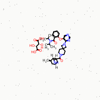 C=C1C[C@@H]2CC[C@H]1[C@@H](C(=O)N1CCC3(CC1)CN(c1ncncc1Oc1ccccc1C(=O)N(C(C)C)C(C)C)C3)N2.O=C(O)[C@H](O)[C@@H](O)C(=O)O